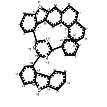 c1ccc(-c2nc(-c3cccc4oc5cc6ccc7ccccc7c6cc5c34)nc(-c3cccc4sc5ccccc5c34)n2)cc1